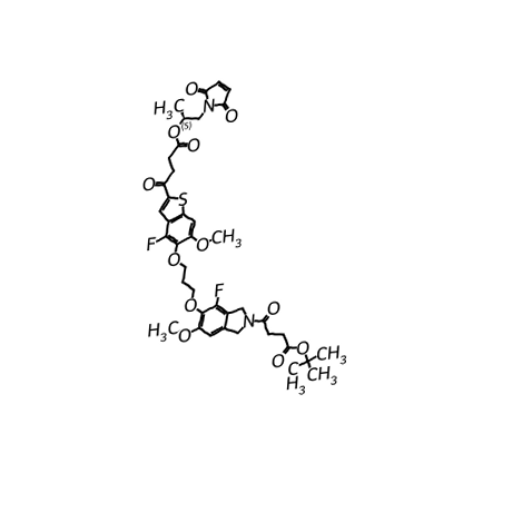 COc1cc2c(c(F)c1OCCCOc1c(OC)cc3sc(C(=O)CCC(=O)O[C@@H](C)CN4C(=O)C=CC4=O)cc3c1F)CN(C(=O)CCC(=O)OC(C)(C)C)C2